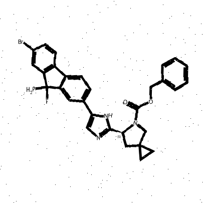 O=C(OCc1ccccc1)N1CC2(CC2)C[C@H]1c1ncc(-c2ccc3c(c2)C(F)(P)c2cc(Br)ccc2-3)[nH]1